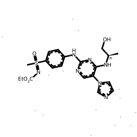 CCOC(=O)N=S(C)(=O)c1ccc(Nc2ncc(-n3ccnc3)c(N[C@H](C)CO)n2)cc1